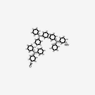 [C]=O.[Rh].c1ccc(P(c2ccccc2)c2ccccc2)cc1.c1ccc(P(c2ccccc2)c2ccccc2)cc1.c1ccc(P(c2ccccc2)c2ccccc2)cc1